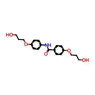 O=C(Nc1ccc(OCCCO)cc1)c1ccc(OCCCO)cc1